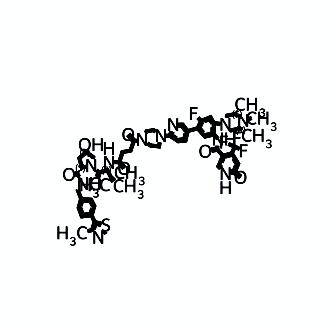 Cc1ncsc1-c1ccc(CNC(=O)[C@@H]2C[C@@H](O)CN2C(=O)[C@@H](NC(=O)CCC(=O)N2CCN(c3ccc(-c4cc(NC(=O)c5c[nH]c(=O)cc5C(F)(F)F)c(N5C[C@@H](C)N(C)[C@@H](C)C5)cc4F)cn3)CC2)C(C)(C)C)cc1